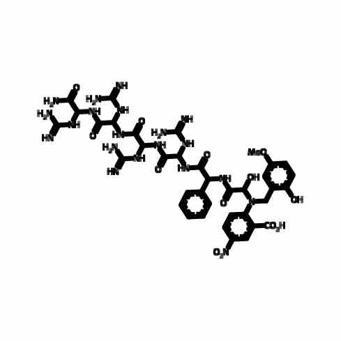 COc1ccc(O)c(CN(c2ccc([N+](=O)[O-])cc2C(=O)O)C(O)C(=O)NC(C(=O)NC(NC(=N)N)C(=O)NC(NC(=N)N)C(=O)NC(NC(=N)N)C(=O)NC(NC(=N)N)C(N)=O)c2ccccc2)c1